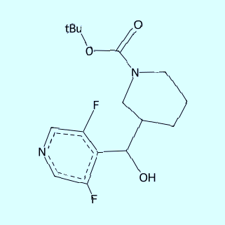 CC(C)(C)OC(=O)N1CCCC(C(O)c2c(F)cncc2F)C1